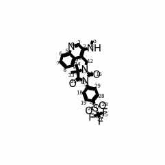 CNc1cnc2ccccc2c1CN1C(=O)N(c2ccc(S(=O)(=O)C(F)(F)F)cc2)C(=O)C1(C)C